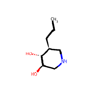 CCC[C@H]1CNC[C@@H](O)[C@@H]1O